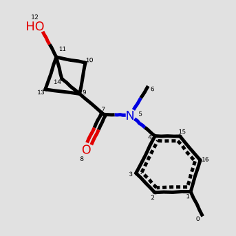 Cc1ccc(N(C)C(=O)C23CC(O)(C2)C3)cc1